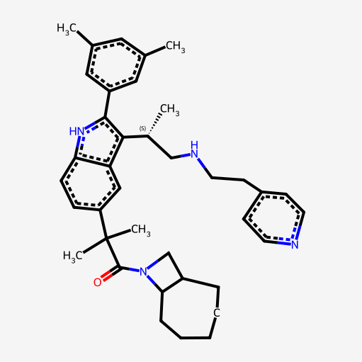 Cc1cc(C)cc(-c2[nH]c3ccc(C(C)(C)C(=O)N4CC5CCCCCC54)cc3c2[C@H](C)CNCCc2ccncc2)c1